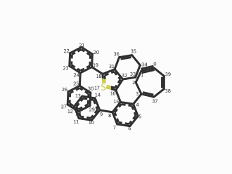 C1#CCC(c2cccc(-c3ccccc3)c2-c2sc(-c3ccccc3-c3ccccc3)c3c2CCC=C3)=CC=C1